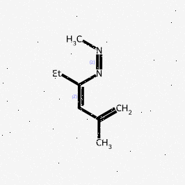 C=C(C)/C=C(CC)\N=N/C